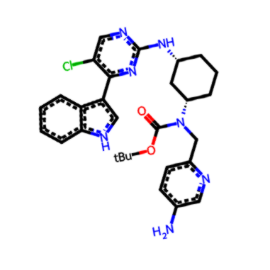 CC(C)(C)OC(=O)N(Cc1ccc(N)cn1)[C@H]1CCC[C@@H](Nc2ncc(Cl)c(-c3c[nH]c4ccccc34)n2)C1